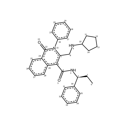 CC[C@H](NC(=O)c1c(CNC2CCCC2)n(-c2ccccc2)c(=O)c2ccccc12)c1ccccc1